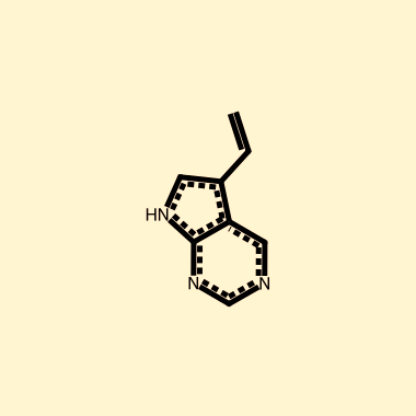 C=Cc1c[nH]c2ncncc12